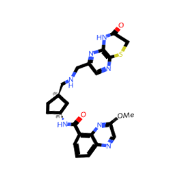 COc1cnc2cccc(C(=O)N[C@@H]3CC[C@@H](CNCc4cnc5c(n4)NC(=O)CS5)C3)c2n1